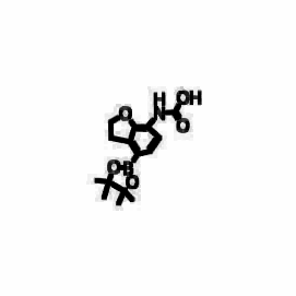 CC1(C)OB(c2ccc(NC(=O)O)c3c2CCO3)OC1(C)C